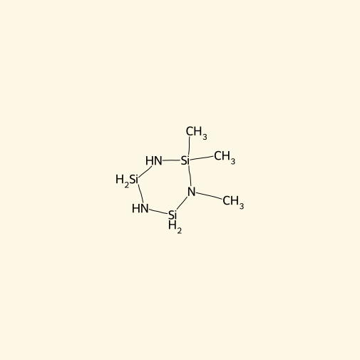 CN1[SiH2]N[SiH2]N[Si]1(C)C